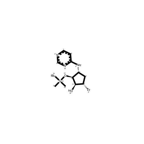 CC[C@H]1C[C@@H](Nc2ccncn2)[C@H](O[Si](C)(C)C(C)(C)C)[C@@H]1O